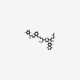 B/C(=C\C=C\Cc1ccccc1/C=C\CNc1ccccc1)C(=C)/C=C\C(=C)/C(=C/C=C\C=C)Nc1ccc2c(c1)C=CCC2